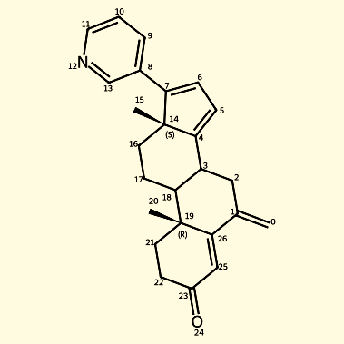 C=C1CC2C3=CC=C(c4cccnc4)[C@@]3(C)CCC2[C@@]2(C)CCC(=O)C=C12